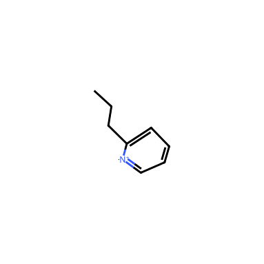 CCCC1=CC=CC=[N+]1